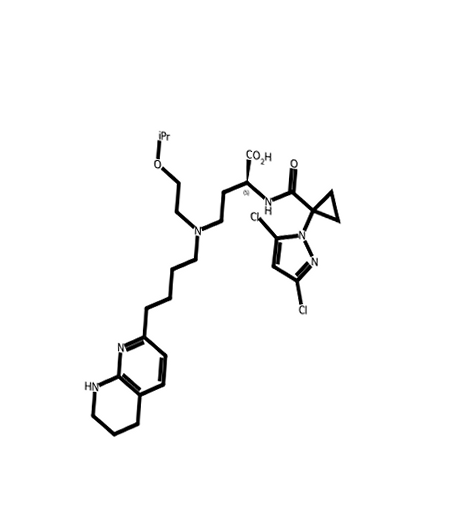 CC(C)OCCN(CCCCc1ccc2c(n1)NCCC2)CC[C@H](NC(=O)C1(n2nc(Cl)cc2Cl)CC1)C(=O)O